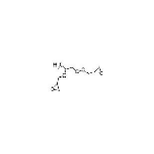 CC(COOCC1CO1)OCC1CO1